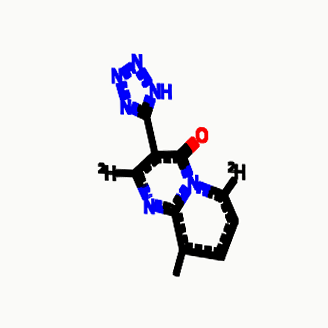 [2H]c1nc2c(C)ccc([2H])n2c(=O)c1-c1nnn[nH]1